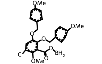 BOC(=O)c1c(OC)c(Cl)cc(OCc2ccc(OC)cc2)c1OCc1ccc(OC)cc1